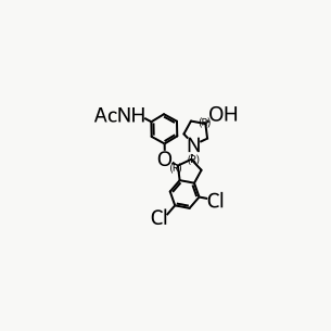 CC(=O)Nc1cccc(O[C@@H]2c3cc(Cl)cc(Cl)c3C[C@H]2N2CC[C@@H](O)C2)c1